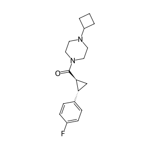 O=C([C@H]1C[C@@H]1c1ccc(F)cc1)N1CCN(C2CCC2)CC1